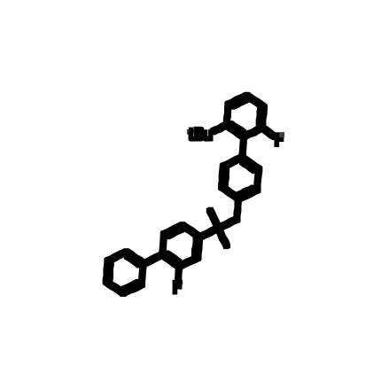 CC(C)(C)c1cccc(F)c1-c1ccc(CC(C)(C)c2ccc(-c3ccccc3)c(F)c2)cc1